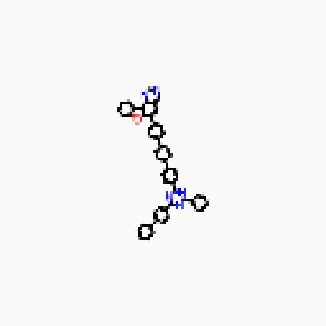 c1ccc(-c2ccc(-c3nc(-c4ccccc4)nc(-c4ccc(-c5ccc(-c6ccc(-c7cc8cncnc8c8c7oc7ccccc78)cc6)cc5)cc4)n3)cc2)cc1